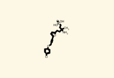 CC(N)(CCc1ccc(C#CCOc2ccc(Cl)cc2)o1)CCP(=O)(O)O